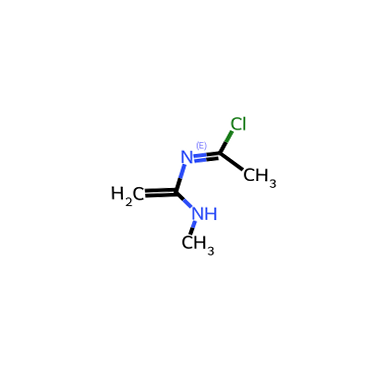 C=C(/N=C(\C)Cl)NC